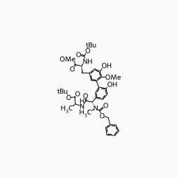 COC(=O)[C@H](Cc1cc(O)c(OC)c(-c2cc([C@@H](C(=O)N[C@@H](C)C(=O)OC(C)(C)C)N(C)C(=O)OCc3ccccc3)ccc2O)c1)NC(=O)OC(C)(C)C